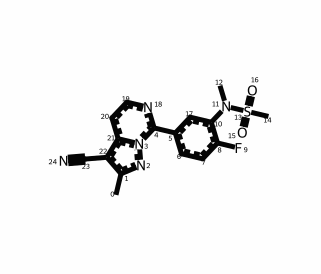 Cc1nn2c(-c3ccc(F)c(N(C)S(C)(=O)=O)c3)nccc2c1C#N